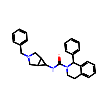 O=C(NC1C2CN(Cc3ccccc3)CC21)N1CCc2ccccc2C1c1ccccc1